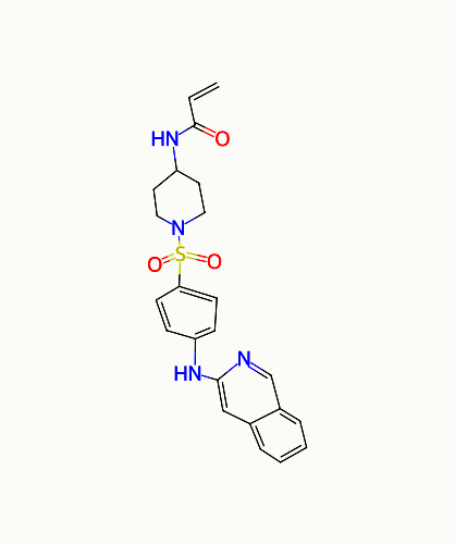 C=CC(=O)NC1CCN(S(=O)(=O)c2ccc(Nc3cc4ccccc4cn3)cc2)CC1